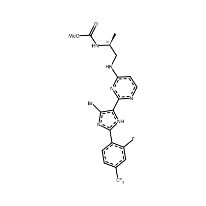 COC(=O)N[C@@H](C)CNc1ccnc(-c2[nH]c(-c3ccc(C(F)(F)F)cc3F)nc2Br)n1